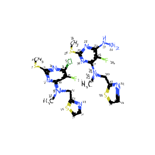 CSc1nc(Cl)c(F)c(N(C)Cc2nccs2)n1.CSc1nc(NN)c(F)c(N(C)Cc2nccs2)n1